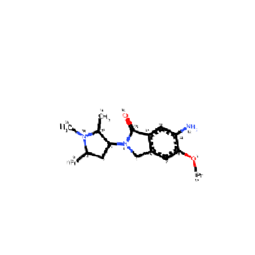 CCCC1CC(N2Cc3cc(OC(C)C)c(N)cc3C2=O)C(C)N1C